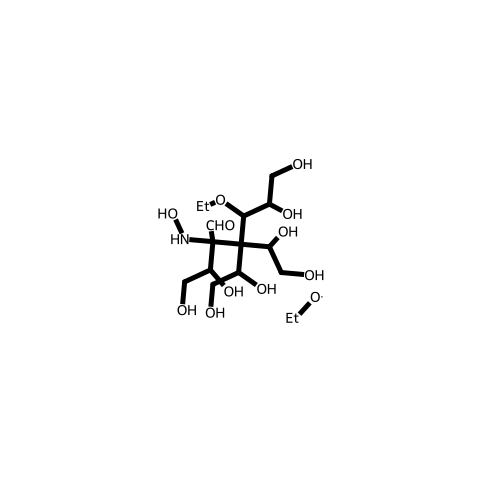 CCOC(C(O)CO)C(C(O)CO)(C(O)CO)C(C=O)(NO)C(O)CO.CC[O]